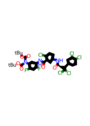 CC(C)(C)OC(=O)N(C(=O)OC(C)(C)C)c1cc(NC(=O)c2cc(NC(=O)[C@H]3C(c4ccc(Cl)c(Cl)c4)C3(Cl)Cl)ccc2Cl)c(F)cc1F